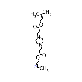 C/C=C\COC(=O)CCN1CCN(CCC(=O)OCC=C(C)C)CC1